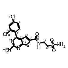 Nc1nc(-c2ccc(Cl)cc2Cl)c2cc(C(=O)NCCS(N)(=O)=O)sc2n1